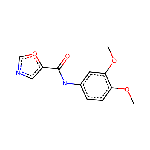 COc1ccc(NC(=O)c2cnco2)cc1OC